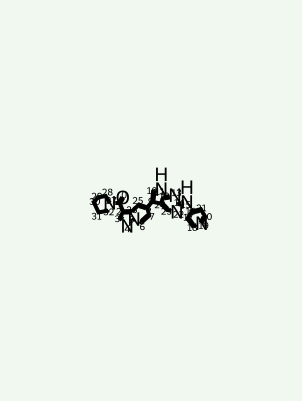 O=C(c1cnn2ccc(-c3c[nH]c4nc(Nc5ccncc5)ncc34)cc12)N1CCCCC1